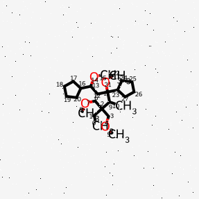 CCC(COC)(COC)C(C)C(CC(OC)C1CCCC1)(OC)C1CCCC1